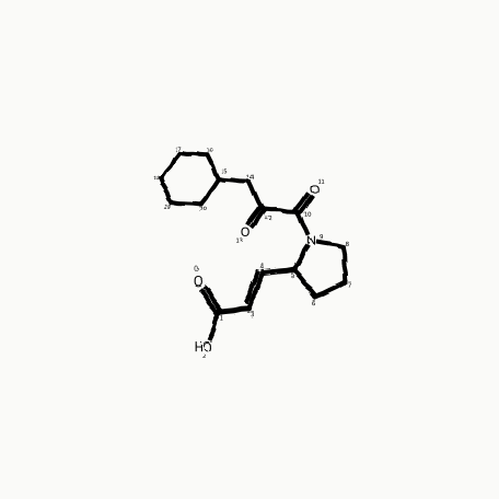 O=C(O)/C=C/C1CCCN1C(=O)C(=O)CC1CCCCC1